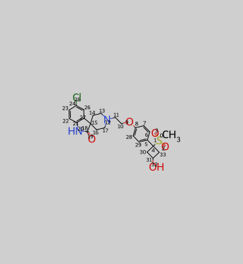 CS(=O)(=O)C1(c2ccc(OCCN3CCC4(CC3)C(=O)Nc3ccc(Cl)cc34)cc2)CC(O)C1